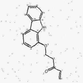 C=CC(=O)CCOc1cccc2c1[nH]c1ccccc12